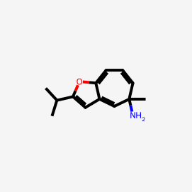 CC(C)c1cc2c(o1)=CC=CC(C)(N)C=2